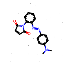 CN(C)c1ccc(N=Nc2ccccc2N2C(=O)C=CC2=O)cc1